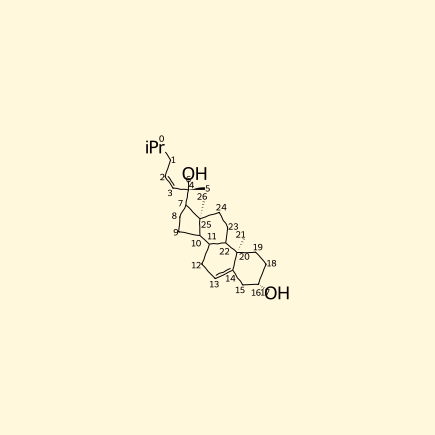 CC(C)C/C=C\[C@](C)(O)C1CCC2C3CC=C4C[C@@H](O)CC[C@]4(C)C3CC[C@@]21C